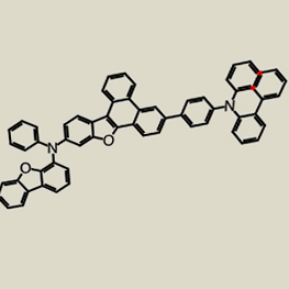 c1ccc(-c2ccccc2N(c2ccccc2)c2ccc(-c3ccc4c(c3)c3ccccc3c3c5ccc(N(c6ccccc6)c6cccc7c6oc6ccccc67)cc5oc43)cc2)cc1